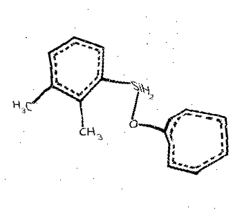 Cc1cccc([SiH2]Oc2ccccc2)c1C